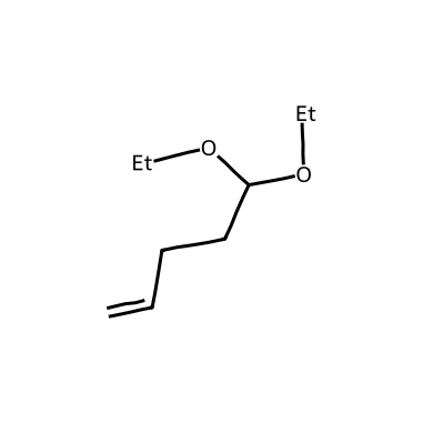 C=CCCC(OCC)OCC